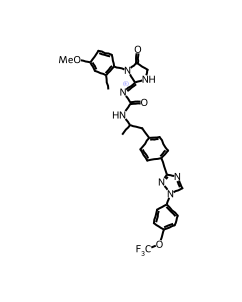 COc1ccc(N2C(=O)CN/C2=N\C(=O)NC(C)Cc2ccc(-c3ncn(-c4ccc(OC(F)(F)F)cc4)n3)cc2)c(C)c1